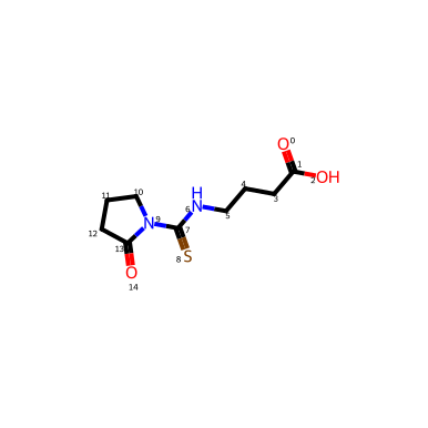 O=C(O)CCCNC(=S)N1CCCC1=O